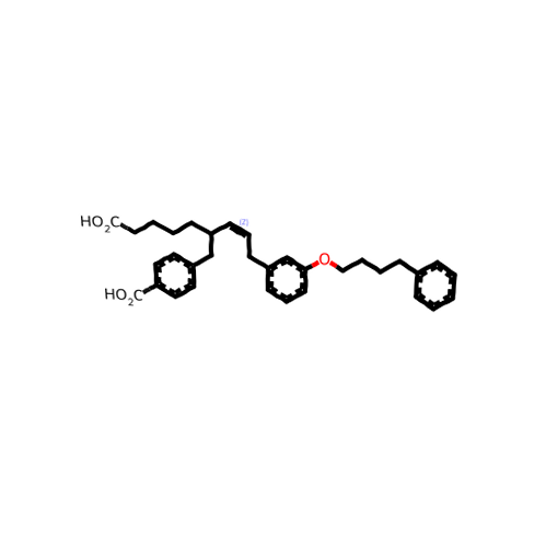 O=C(O)CCCCC(/C=C\Cc1cccc(OCCCCc2ccccc2)c1)Cc1ccc(C(=O)O)cc1